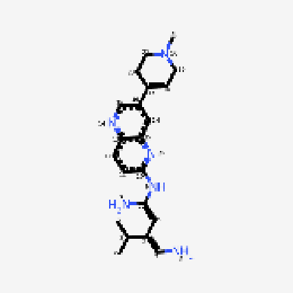 CC(C)C(=C/N)/C=C(\N)Nc1ccc2ncc(C3=CCN(C)CC3)cc2n1